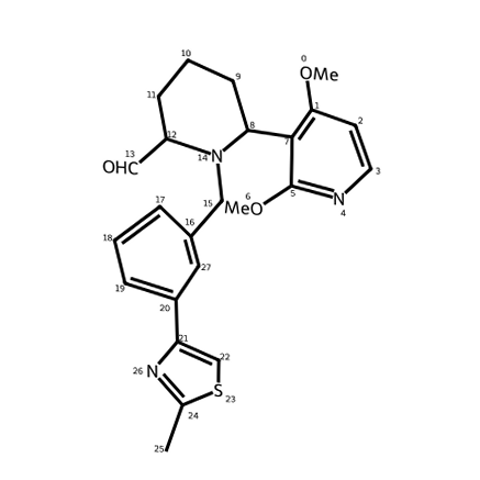 COc1ccnc(OC)c1C1CCCC(C=O)N1Cc1cccc(-c2csc(C)n2)c1